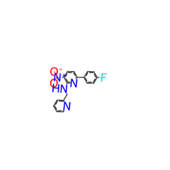 O=[N+]([O-])c1ccc(-c2ccc(F)cc2)nc1NCc1ccccn1